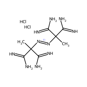 CC(/N=N/C(C)(C(=N)N)C(=N)N)(C(=N)N)C(=N)N.Cl.Cl